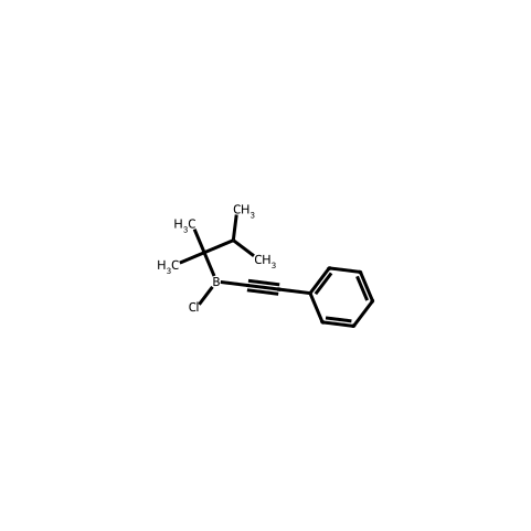 CC(C)C(C)(C)B(Cl)C#Cc1ccccc1